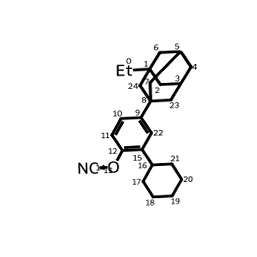 CCC12CC3CC(C1)CC(c1ccc(OC#N)c(C4CCCCC4)c1)(C3)C2